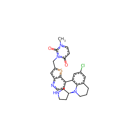 Cn1ccc(=O)n(Cc2cc3nccc(-c4cc(Cl)cc5c4N([C@H]4CCNC4)CCC5)c3s2)c1=O